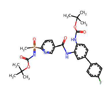 CC(C)(C)OC(=O)N=S(C)(=O)c1ccc(C(=O)Nc2cc(-c3ccc(F)cc3)ccc2NC(=O)OC(C)(C)C)cn1